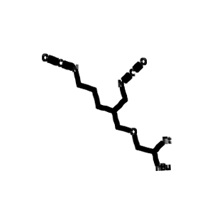 CCCCC(CC)COCC(CCCN=C=O)CN=C=O